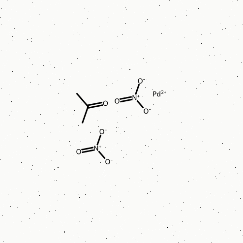 CC(C)=O.O=[N+]([O-])[O-].O=[N+]([O-])[O-].[Pd+2]